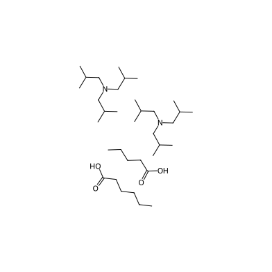 CC(C)CN(CC(C)C)CC(C)C.CC(C)CN(CC(C)C)CC(C)C.CCCCC(=O)O.CCCCCC(=O)O